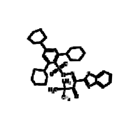 CC(C)(C)C(=O)/C(=N\OS(=O)(=O)c1c(C2CCCCC2)cc(C2CCCCC2)cc1C1CCCCC1)c1nc2ccccc2s1